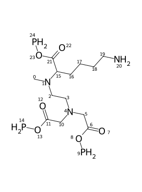 CN(CCN(CC(=O)OP)CC(=O)OP)C(CCCCN)C(=O)OP